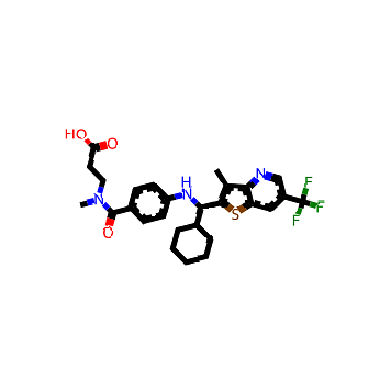 Cc1c(C(Nc2ccc(C(=O)N(C)CCC(=O)O)cc2)C2CCCCC2)sc2cc(C(F)(F)F)cnc12